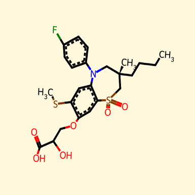 CCCC[C@@]1(C)CN(c2ccc(F)cc2)c2cc(SC)c(OCC(O)C(=O)O)cc2S(=O)(=O)C1